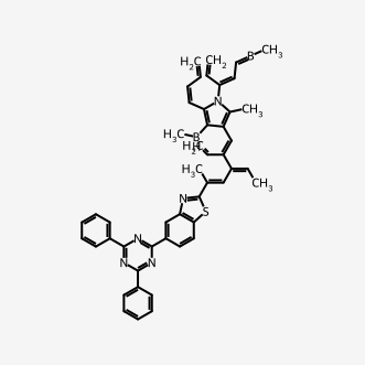 C=C/C=C\c1c(BC)c(/C=C(C=C)/C(=C/C)/C=C(\C)c2nc3cc(-c4nc(-c5ccccc5)nc(-c5ccccc5)n4)ccc3s2)c(C)n1/C(C=C)=C/C=B\C